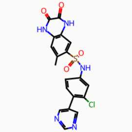 Cc1cc2[nH]c(=O)c(=O)[nH]c2cc1S(=O)(=O)Nc1ccc(-c2cncnc2)c(Cl)c1